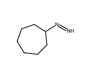 N=NC1CCCCCC1